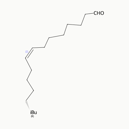 CC[C@@H](C)CCCC/C=C\CCCCCCC=O